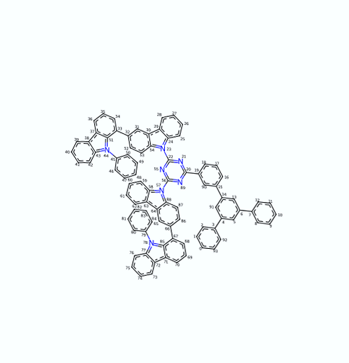 c1ccc(-c2cc(-c3ccccc3)cc(-c3cccc(-c4nc(-n5c6ccccc6c6cc(-c7cccc8c9ccccc9n(-c9ccccc9)c78)ccc65)nc(-n5c6ccccc6c6cc(-c7cccc8c9ccccc9n(-c9ccccc9)c78)ccc65)n4)c3)c2)cc1